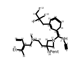 C#CN/C(=C1/C=C(CC(F)(F)CF)C=C=CC1)N1CC(CCCCC)(CCN(C)C/C(C=C)=C(\C)CC)C1